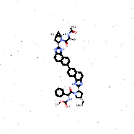 COC[C@H]1C[C@@H](c2nc3ccc4cc(-c5ccc6c(ccc7nc([C@@H]8C[C@H]9C[C@H]9N8C(=O)[C@@H](NC(=O)OC)C(C)C)[nH]c76)c5)ccc4c3[nH]2)N(C(=O)[C@H](NC(O)OC(C)(C)C)c2ccccc2)C1